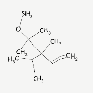 C=CC(C)(C(C)C)C(C)(C)O[SiH3]